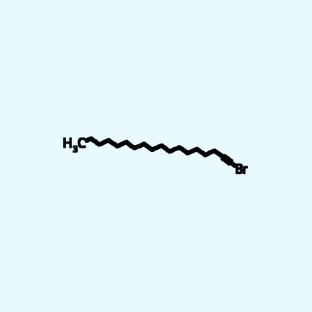 CCCCCCCCCCCCCCCCC#CBr